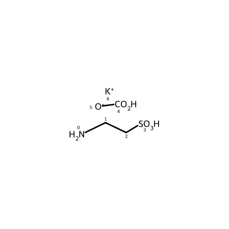 NCCS(=O)(=O)O.O=C([O-])O.[K+]